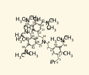 Cc1c(CC(C)C)cc(CCN(CCc2cc(CN(C)C)c(C)c(CN(C)C)c2)Cc2cc(CN(C)C)c(C)c(CN(C)C)c2)cc1CN(C)C